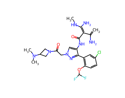 C=C(N)/C(C(=O)Nc1cn(CC(=O)N2CC(N(C)C)C2)nc1-c1cc(Cl)ccc1OC(F)F)=C(\N)NC